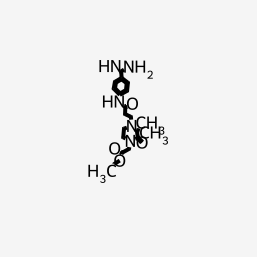 CCOC(=O)CN1CCN(CCC(=O)Nc2ccc(C(=N)N)cc2)C(C)(C)C1=O